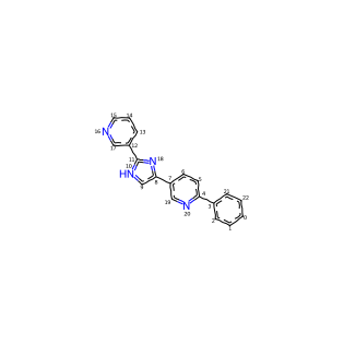 c1ccc(-c2ccc(-c3c[nH]c(-c4cccnc4)n3)cn2)cc1